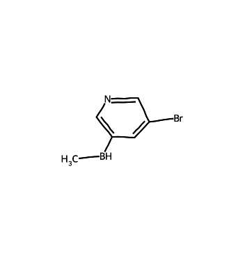 CBc1cncc(Br)c1